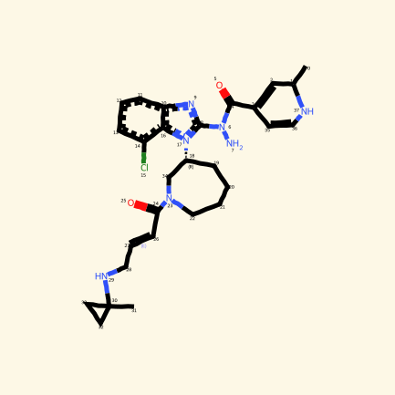 CC1C=C(C(=O)N(N)c2nc3cccc(Cl)c3n2[C@@H]2CCCCN(C(=O)/C=C/CNC3(C)CC3)C2)C=CN1